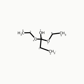 [CH2]CC(O)(OCC)OCC